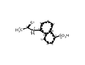 CC(=S)Nc1cccc2c(S(=O)(=O)O)cccc12